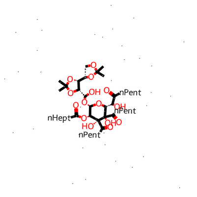 CCCCCCCC(=O)O[C@@H]1[C@H](OC(O)[C@@H]2OC(C)(C)O[C@@H]2[C@@H]2COC(C)(C)O2)O[C@H](C(O)C(=O)CCCCC)[C@](O)(C(=O)CCCCC)[C@@]1(O)C(=O)CCCCC